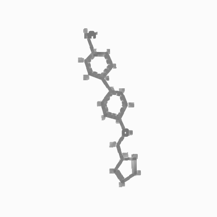 CCCc1ccc(-c2ccc(OCC3C=CC=C3)cc2)cc1